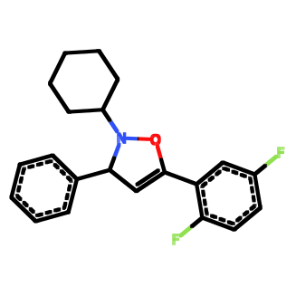 Fc1ccc(F)c(C2=CC(c3ccccc3)N(C3CCCCC3)O2)c1